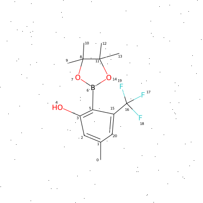 Cc1cc(O)c(B2OC(C)(C)C(C)(C)O2)c(C(F)(F)F)c1